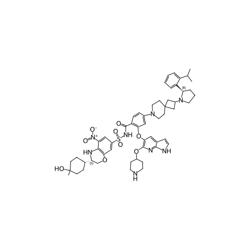 CC(C)c1ccccc1[C@H]1CCCN1C1CC2(CCN(c3ccc(C(=O)NS(=O)(=O)c4cc5c(c([N+](=O)[O-])c4)N[C@@H](C4CCC(C)(O)CC4)CO5)c(Oc4cc5cc[nH]c5nc4OC4CCNCC4)c3)CC2)C1